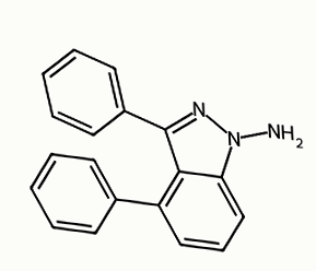 Nn1nc(-c2ccccc2)c2c(-c3ccccc3)cccc21